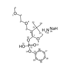 COCCOCC(=C(OC)OP(=O)(O)Oc1ccccc1)C(C)(C)C.N.[NaH]